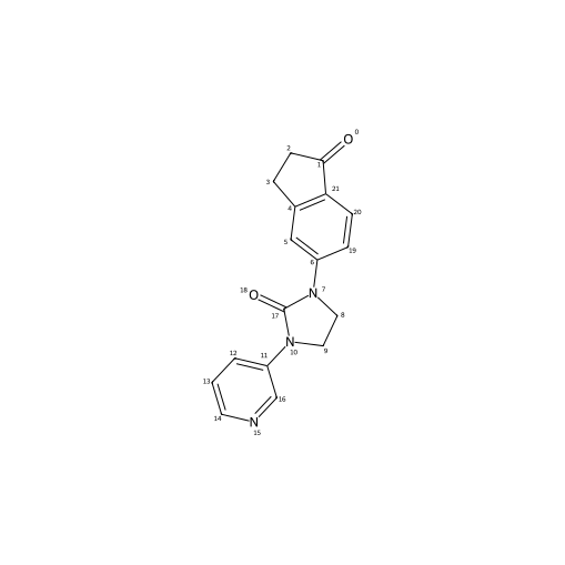 O=C1CCc2cc(N3CCN(c4cccnc4)C3=O)ccc21